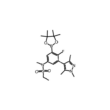 CCS(=O)(=O)N(C)c1cc(B2OC(C)(C)C(C)(C)O2)c(F)c(-c2c(C)nn(C)c2C)c1